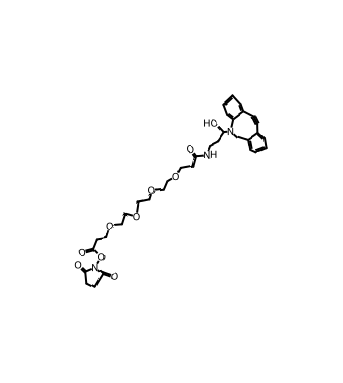 O=C(CCOCCOCCOCCOCCC(=O)ON1C(=O)CCC1=O)NCCC(O)N1Cc2ccccc2C#Cc2ccccc21